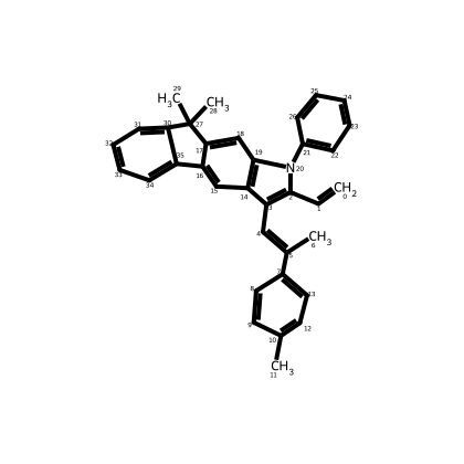 C=Cc1c(/C=C(\C)c2ccc(C)cc2)c2cc3c(cc2n1-c1ccccc1)C(C)(C)c1ccccc1-3